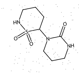 O=C1NCCCN1C1CCCNS1(=O)=O